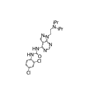 CC(C)N(CCn1ncc2c(NC(=O)Nc3ccc(Cl)cc3Cl)ncnc21)C(C)C